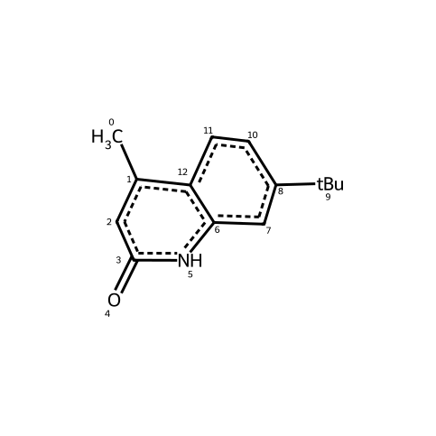 Cc1cc(=O)[nH]c2cc(C(C)(C)C)ccc12